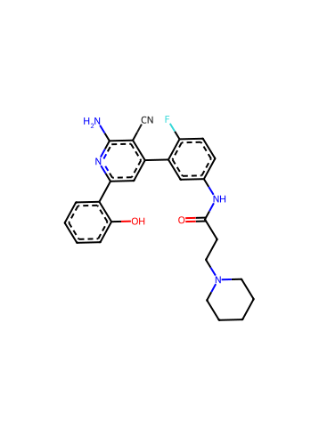 N#Cc1c(-c2cc(NC(=O)CCN3CCCCC3)ccc2F)cc(-c2ccccc2O)nc1N